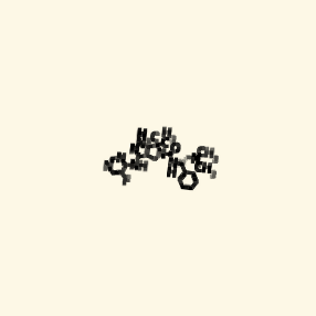 CN(C)C[C@@H](NC(=O)N1Cc2c(Nc3ncncc3F)n[nH]c2C1(C)C)c1ccccc1